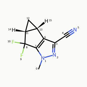 Cn1nc(C#N)c2c1C(F)(F)[C@@H]1C[C@H]21